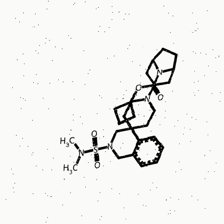 CN(C)S(=O)(=O)N1Cc2ccccc2C2(CCN(C3CC4CCC(C3)N4C(=O)OC3CCC3)CC2)C1